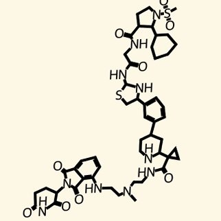 CN(CCNC(=O)C1(C2CC(c3cccc(C4CSC(NC(=O)CNC(=O)C5CCN(S(C)(=O)=O)C5C5CCCCC5)N4)c3)CCN2)CC1)CCNc1cccc2c1C(=O)N(C1CCC(=O)NC1=O)C2=O